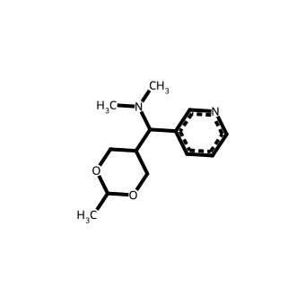 CC1OCC(C(c2cccnc2)N(C)C)CO1